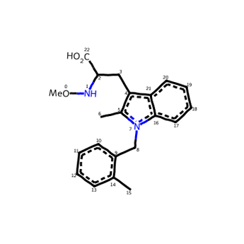 CONC(Cc1c(C)n(Cc2ccccc2C)c2ccccc12)C(=O)O